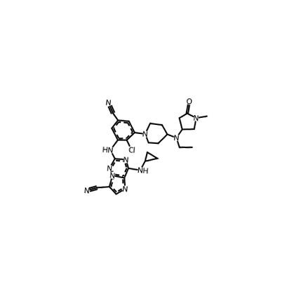 CCN(C1CCN(c2cc(C#N)cc(Nc3nc(NC4CC4)c4ncc(C#N)n4n3)c2Cl)CC1)C1CC(=O)N(C)C1